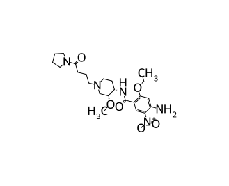 CCOc1cc(N)c([N+](=O)[O-])cc1C(=O)N[C@H]1CCN(CCCC(=O)N2CCCC2)C[C@H]1OC